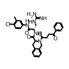 Cc1cc(NC(=O)[C@H](CNC(=N)N)NC(=O)C2Cc3ccccc3CN2C(=O)CCC(=O)c2ccccc2)ccc1Cl